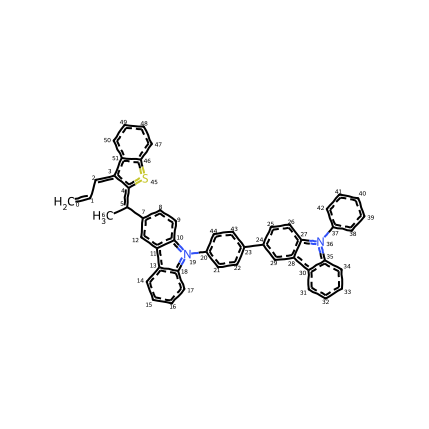 C=C/C=c1\c(=C(/C)c2ccc3c(c2)c2ccccc2n3-c2ccc(-c3ccc4c(c3)c3ccccc3n4-c3ccccc3)cc2)sc2ccccc12